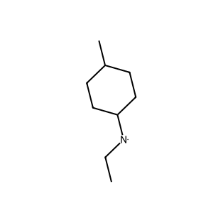 CC[N]C1CCC(C)CC1